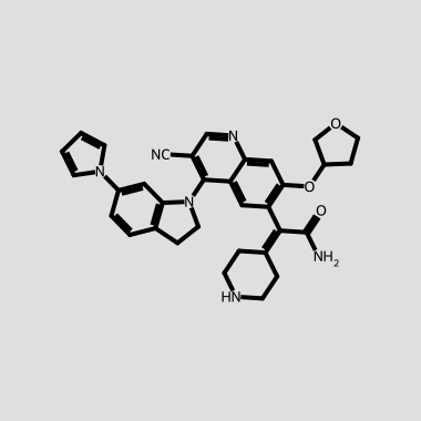 N#Cc1cnc2cc(OC3CCOC3)c(C(C(N)=O)=C3CCNCC3)cc2c1N1CCc2ccc(-n3cccc3)cc21